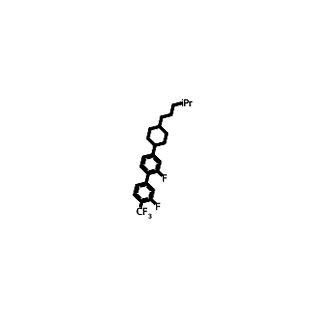 CC(C)CCCC1CCC(c2ccc(-c3ccc(C(F)(F)F)c(F)c3)c(F)c2)CC1